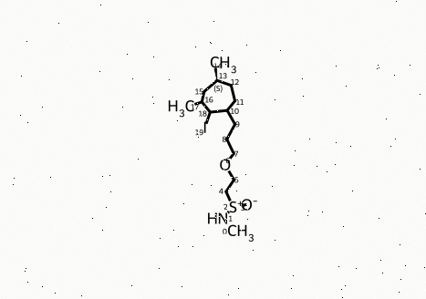 CN[S+]([O-])CCOCCCC1CC[C@H](C)CC(C)C1I